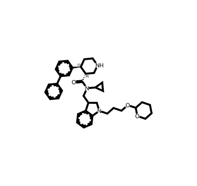 O=C([C@H]1CNCC[C@@H]1c1cccc(-c2ccccc2)c1)N(CC1CN(CCCOC2CCCCO2)c2ccccc21)C1CC1